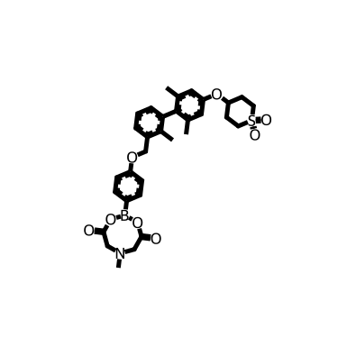 Cc1cc(OC2CCS(=O)(=O)CC2)cc(C)c1-c1cccc(COc2ccc(B3OC(=O)CN(C)CC(=O)O3)cc2)c1C